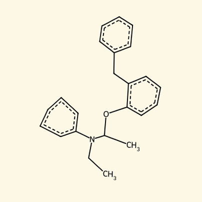 CCN(c1ccccc1)C(C)Oc1ccccc1Cc1ccccc1